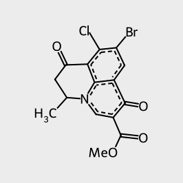 COC(=O)c1cn2c3c(c(Cl)c(Br)cc3c1=O)C(=O)CC2C